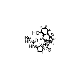 CC(C)(C)NC(=O)NC1CC[C@@H](C(=O)N2CC[C@@]3(C)c4cccc(O)c4C[C@@H]2C3(C)C)C1